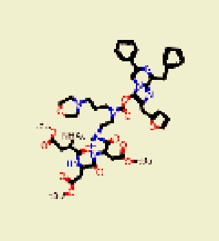 CC(=O)NC(CC(=O)OC(C)(C)C)C(=O)NC(CC(=O)OC(C)(C)C)C(=O)NC(CC(=O)OC(C)(C)C)C(=O)N(C)CCN(CCCN1CCOCC1)C(=O)Oc1c(Cc2ccco2)nc2c(Cc3ccccc3)nc(-c3ccccc3)cn12